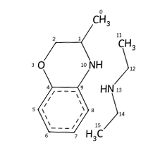 CC1COc2ccccc2N1.CCNCC